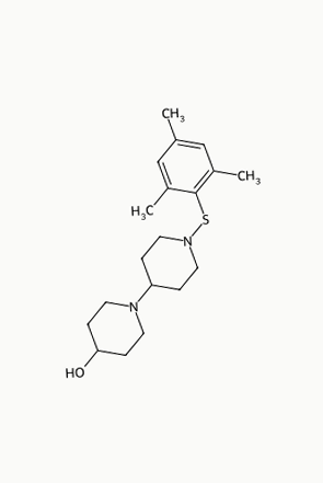 Cc1cc(C)c(SN2CCC(N3CCC(O)CC3)CC2)c(C)c1